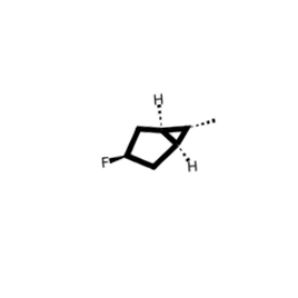 C[C@@H]1[C@H]2C[C@@H](F)C[C@@H]12